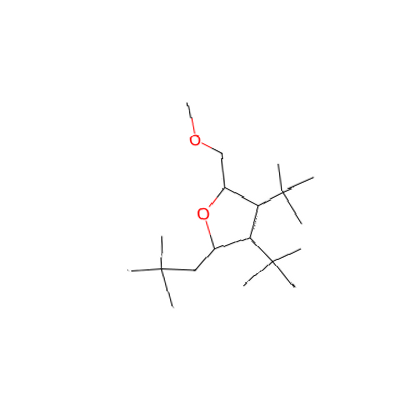 COCC1OC(CC(C)(C)C)C(C(C)(C)C)C1C(C)(C)C